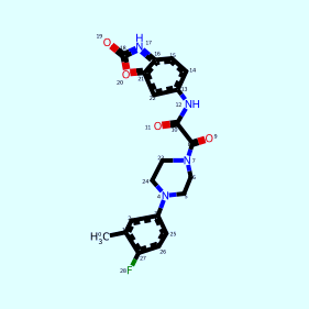 Cc1cc(N2CCN(C(=O)C(=O)Nc3ccc4[nH]c(=O)oc4c3)CC2)ccc1F